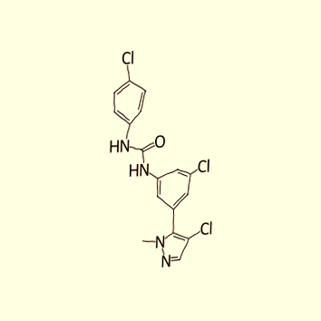 Cn1ncc(Cl)c1-c1cc(Cl)cc(NC(=O)Nc2ccc(Cl)cc2)c1